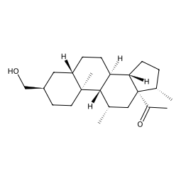 CC(=O)[C@]12C[C@H](C)[C@H]3[C@@H](CC[C@H]4C[C@H](CO)CC[C@@]43C)[C@@H]1CC[C@@H]2C